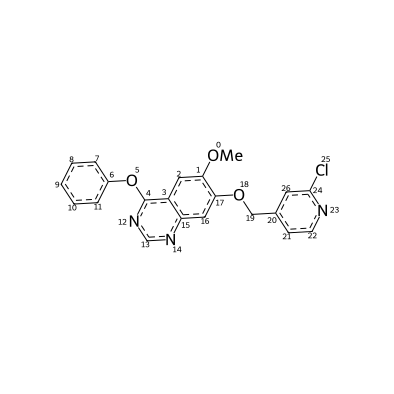 COc1cc2c(Oc3ccccc3)ncnc2cc1OCc1ccnc(Cl)c1